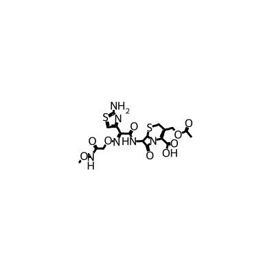 CONC(=O)CON=C(C(=O)NC1C(=O)N2C(C(=O)O)=C(COC(C)=O)CSC12)c1csc(N)n1